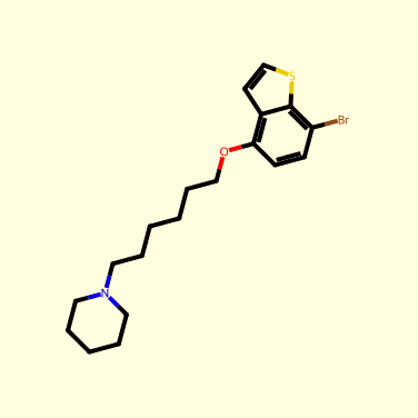 Brc1ccc(OCCCCCCN2CCCCC2)c2ccsc12